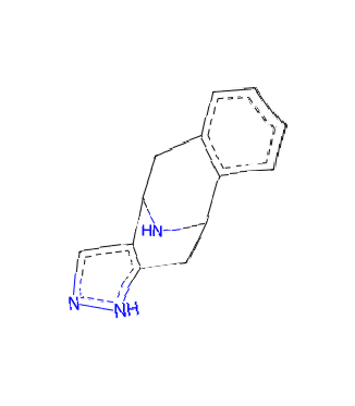 c1ccc2c(c1)CC1NC2Cc2[nH]ncc21